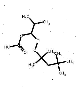 CC(C)C(OOC(C)(C)CC(C)(C)C)OC(=O)O